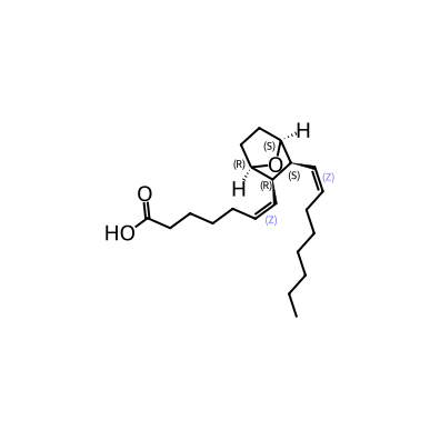 CCCCCC/C=C\[C@H]1[C@@H](/C=C\CCCCC(=O)O)[C@H]2CC[C@@H]1O2